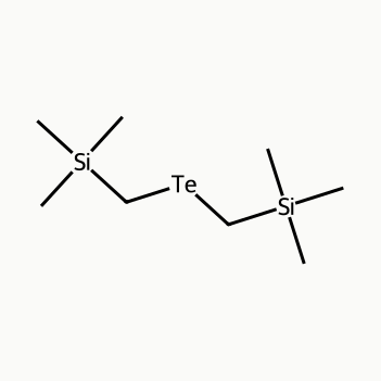 C[Si](C)(C)C[Te]C[Si](C)(C)C